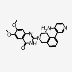 COc1cc2nc(N3CCc4c(cccc4-c4cnccc4N)C3)[nH]c(=O)c2cc1OC